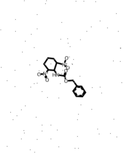 O=C(NC1C([N+](=O)[O-])CCCC1[N+](=O)[O-])OCc1ccccc1